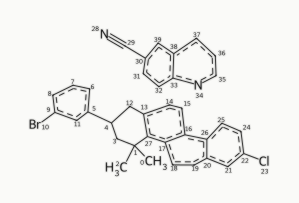 CC1(C)CC(c2cccc(Br)c2)Cc2ccc3c(ccc4cc(Cl)ccc43)c21.N#Cc1ccc2ncccc2c1